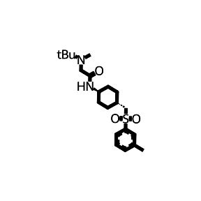 Cc1cccc(S(=O)(=O)C[C@H]2CC[C@H](NC(=O)CN(C)C(C)(C)C)CC2)c1